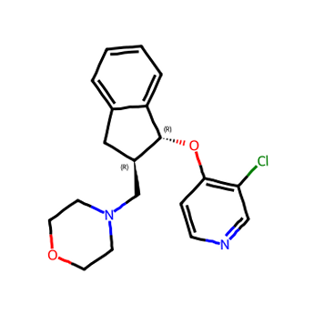 Clc1cnccc1O[C@H]1c2ccccc2C[C@@H]1CN1CCOCC1